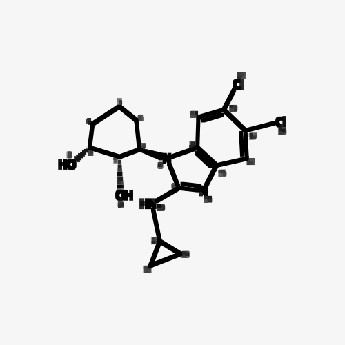 O[C@@H]1[C@H](O)CCC[C@H]1n1c(NC2CC2)nc2cc(Cl)c(Cl)cc21